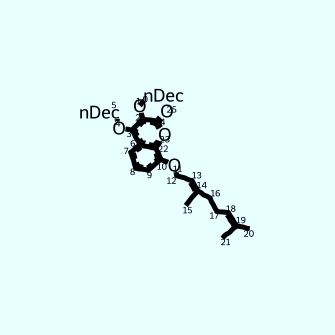 CCCCCCCCCCOc1c(OCCCCCCCCCC)c2cccc(OC/C=C(\C)CCC=C(C)C)c2oc1=O